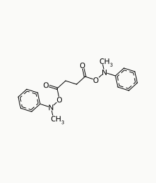 CN(OC(=O)CCC(=O)ON(C)c1ccccc1)c1ccccc1